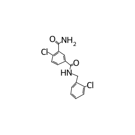 NC(=O)c1cc(C(=O)NCc2ccccc2Cl)ccc1Cl